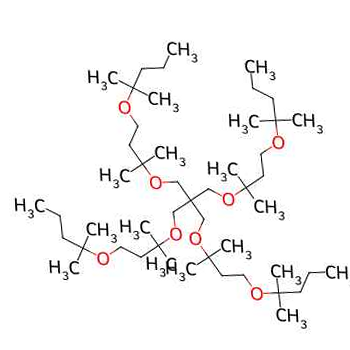 CCCC(C)(C)OCCC(C)(C)OCC(COC(C)(C)CCOC(C)(C)CCC)(COC(C)(C)CCOC(C)(C)CCC)COC(C)(C)CCOC(C)(C)CCC